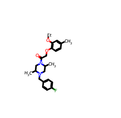 CCOc1cc(C)ccc1OCC(=O)N1CC(C)N(Cc2ccc(F)cc2)CC1C